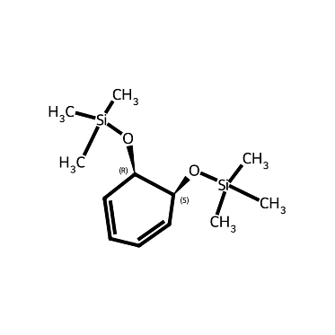 C[Si](C)(C)O[C@H]1C=CC=C[C@H]1O[Si](C)(C)C